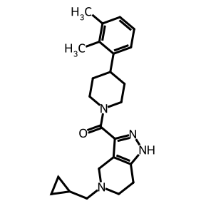 Cc1cccc(C2CCN(C(=O)c3n[nH]c4c3CN(CC3CC3)CC4)CC2)c1C